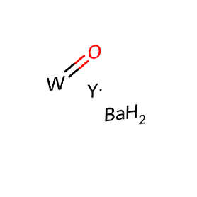 [BaH2].[O]=[W].[Y]